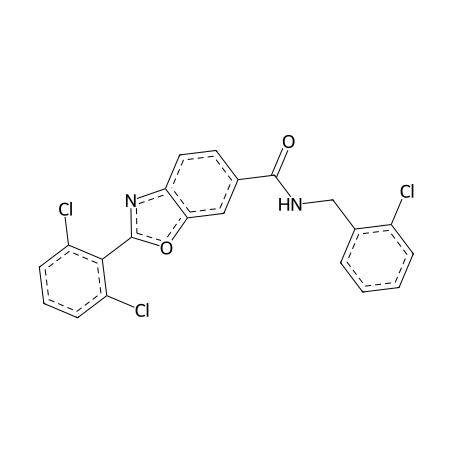 O=C(NCc1ccccc1Cl)c1ccc2nc(-c3c(Cl)cccc3Cl)oc2c1